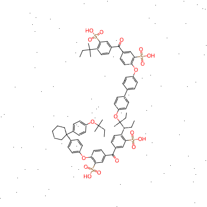 CCC(c1ccc(C(=O)c2ccc(Oc3ccc(C4(c5ccc(OC(C)(C)CC)cc5)CCCCC4)cc3)c(S(=O)(=O)O)c2)cc1S(=O)(=O)O)C(C)(CC)Oc1ccc(-c2ccc(Oc3ccc(C(=O)c4ccc(C(C)(C)CC)c(S(=O)(=O)O)c4)cc3S(=O)(=O)O)cc2)cc1